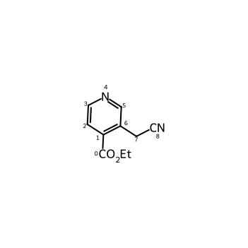 CCOC(=O)c1ccncc1CC#N